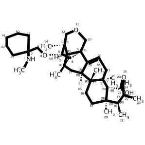 CNC1(CO[C@H]2[C@H](C)C[C@@]34COC[C@@]2(C)[C@@H]3CC[C@H]2C4=CC[C@@]3(C)[C@H](C(=O)O)[C@@](C)([C@H](C)C(C)C)CC[C@]23C)CCCCC1